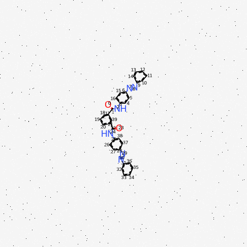 O=C(Nc1ccc(/N=N/c2ccccc2)cc1)c1cccc(C(=O)Nc2ccc(/N=N/c3ccccc3)cc2)c1